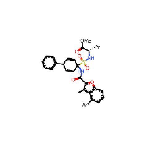 COC(=O)[C@@H](NS(=O)(=O)C1(NC(=O)c2oc3cccc(C(C)=O)c3c2C)C=CC(c2ccccc2)C=C1)C(C)C